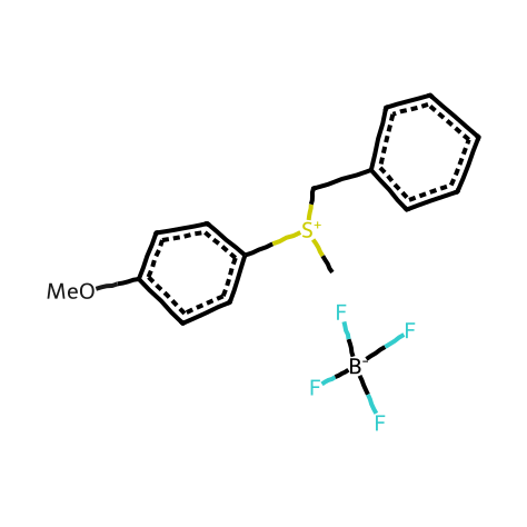 COc1ccc([S+](C)Cc2ccccc2)cc1.F[B-](F)(F)F